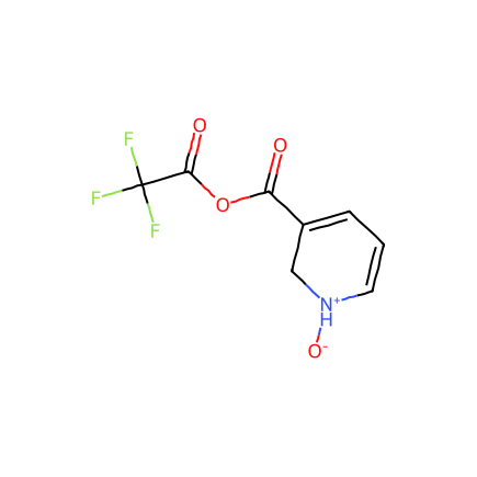 O=C(OC(=O)C(F)(F)F)C1=CC=C[NH+]([O-])C1